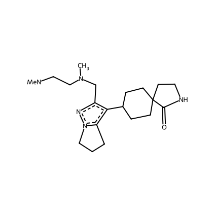 CNCCN(C)Cc1nn2c(c1C1CCC3(CCNC3=O)CC1)CCC2